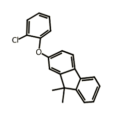 CC1(C)c2ccccc2-c2ccc(Oc3ccccc3Cl)cc21